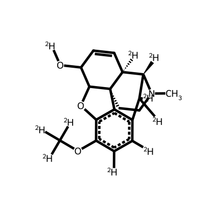 [2H]OC1C=C[C@]2([2H])[C@@]34CCN(C)[C@]2([2H])C([2H])([2H])c2c([2H])c([2H])c(OC([2H])([2H])[2H])c(c23)OC14